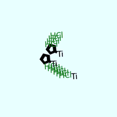 Cl.Cl.Cl.Cl.Cl.Cl.Cl.Cl.Cl.Cl.[Ti].[Ti][C]1=CC=CC1.[Ti][C]1=CC=CC1